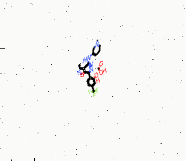 Cc1noc2c(-c3ccc(C(F)(F)F)cc3O)nnc(N[C@@H]3CCCN(C)C3)c12.O=CO